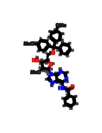 COc1ccc(C(OC[C@H]2O[C@@H](n3cnc4c(NC(=O)c5ccccc5)ncnc43)[C@@H](OC)[C@H]2O)(c2ccccc2)c2ccc(OC)cc2)cc1